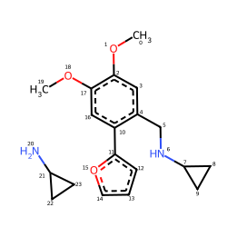 COc1cc(CNC2CC2)c(-c2ccco2)cc1OC.NC1CC1